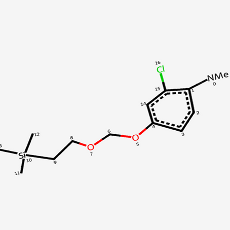 CNc1ccc(OCOCC[Si](C)(C)C)cc1Cl